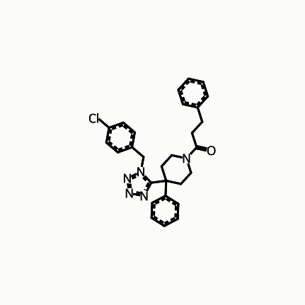 O=C(CCc1ccccc1)N1CCC(c2ccccc2)(c2nnnn2Cc2ccc(Cl)cc2)CC1